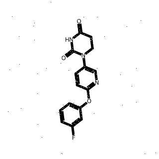 O=C1CCN(c2ccc(Oc3cccc(F)c3)nc2)C(=O)N1